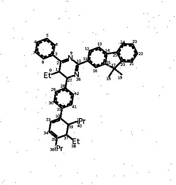 CCC1C(c2ccccc2)=NC(c2ccc3c(c2)C(C)(C)c2ccccc2-3)=NC1c1ccc(C2=CC=C(C(C)C)C(CC)C2C(C)C)cc1